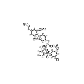 CCOCc1cc(OC)c(-c2ccc(CC(NC(=O)[C@]3(C)CCCN3S(=O)(=O)c3cc(Cl)cc(Cl)c3)C(=O)O)cc2)c(OC)c1